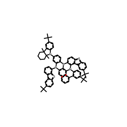 Cc1cc2c3c(c1)N(c1ccc(C(C)(C)C)cc1-c1ccccc1)c1c(ccc4sc5ccc(C(C)(C)C)cc5c14)B3c1ccc(N3c4ccc(C(C)(C)C)cc4C4(C)CCCCC34C)cc1N2c1cccc2c1sc1ccc(C(C)(C)C)cc12